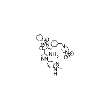 Cc1nc2cc(-n3ncc(C(=O)c4cc5cc(CN6CCN(S(C)(=O)=O)CC6)ccc5n4S(=O)(=O)c4ccccc4)c3N)ccc2[nH]1